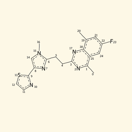 Cc1nc(CCc2nc(-c3nccs3)cn2C)nc2c(C)cc(F)cc12